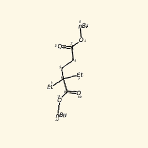 CCCCOC(=O)CCC(CC)(CC)C(=O)OCCCC